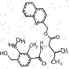 Cc1c(C(=O)N[C@H](C(=O)OCc2ccc3ccccc3n2)C(C)C)ccc(CO)c1BO